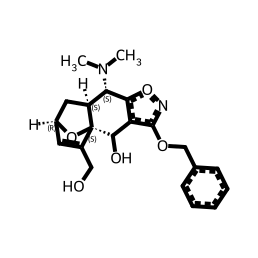 CN(C)[C@@H]1c2onc(OCc3ccccc3)c2C(O)[C@@]23O[C@@H](C=C2CO)C[C@@H]13